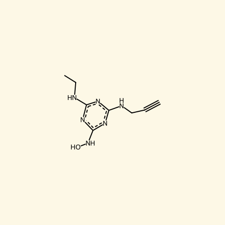 C#CCNc1nc(NO)nc(NCC)n1